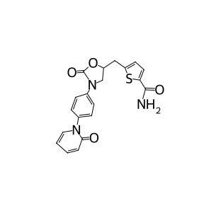 NC(=O)c1ccc(CC2CN(c3ccc(-n4ccccc4=O)cc3)C(=O)O2)s1